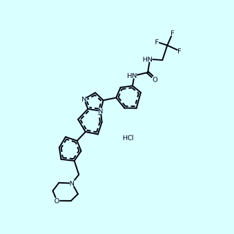 Cl.O=C(NCC(F)(F)F)Nc1cccc(-c2cnc3cc(-c4cccc(CN5CCOCC5)c4)ccn23)c1